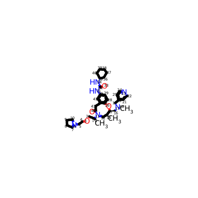 CC(COCCN1CCCC1)N1C[C@@H](C)[C@H](CN(C)Cc2ccncc2)Oc2ccc(NC(=O)NC3CCCCC3)cc2CC1=O